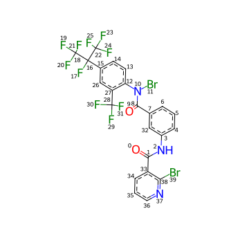 O=C(Nc1cccc(C(=O)N(Br)c2ccc(C(F)(C(F)(F)F)C(F)(F)F)cc2C(F)(F)F)c1)c1cccnc1Br